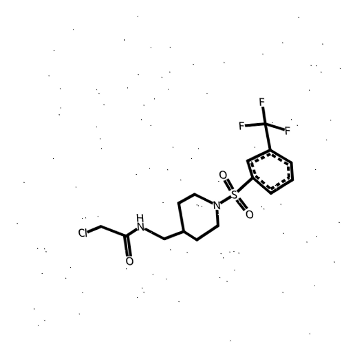 O=C(CCl)NCC1CCN(S(=O)(=O)c2cccc(C(F)(F)F)c2)CC1